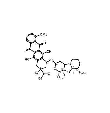 CCC(C)C(=O)[C@]1(O)Cc2c(O)c3c(c(O)c2[C@@H](O[C@H]2CC4[C@H](O[C@@H]5[C@@H](OC)OCCN45)[C@H](C)O2)C1)C(=O)c1c(OC)cccc1C3=O